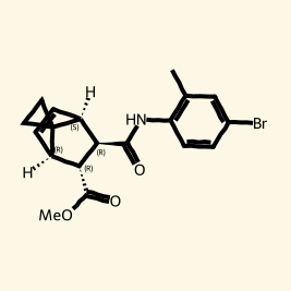 COC(=O)[C@H]1[C@H](C(=O)Nc2ccc(Br)cc2C)[C@@H]2C=C[C@H]1C21CC1